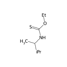 CCOC(=S)NC(C)C(C)C